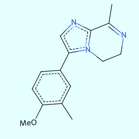 COc1ccc(-c2cnc3n2CCN=C3C)cc1C